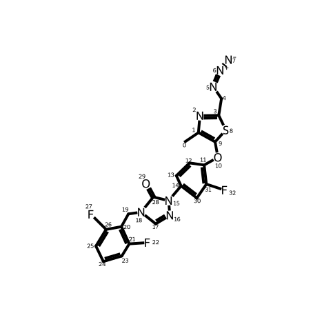 Cc1nc(CN=[N+]=[N-])sc1Oc1ccc(-n2ncn(Cc3c(F)cccc3F)c2=O)cc1F